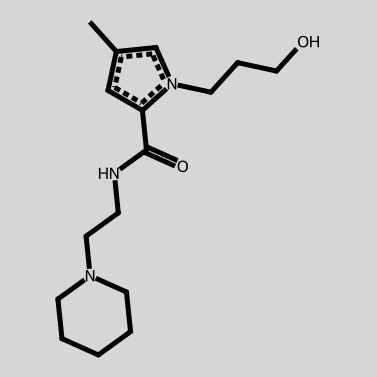 Cc1cc(C(=O)NCCN2CCCCC2)n(CCCO)c1